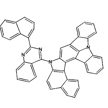 c1ccc2c(-c3nc(-n4c5ccc6ccccc6c5c5c6c7ccccc7n7c8ccccc8c(cc54)c67)c4ccccc4n3)cccc2c1